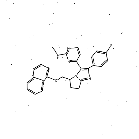 CNc1nccc(-c2c(-c3ccc(F)cc3)nc3n2C(COc2nccc4ccccc24)CC3)n1